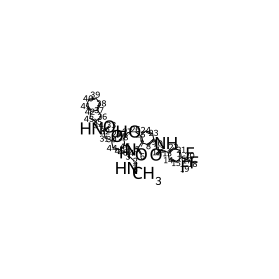 CNCCN1C(=O)c2cc(NC(=O)c3ccc(C(F)(F)F)cc3)ccc2OC[C@@H]2O[C@H](CC(=O)NC3Cc4ccccc4C3)CC[C@@H]21